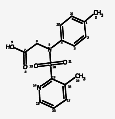 Cc1ccc(N(CC(=O)O)S(=O)(=O)c2ncccc2C)cc1